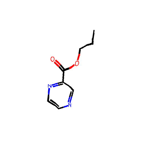 CCCOC(=O)c1cnccn1